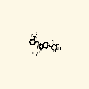 COc1nn(Cc2ccccc2C(F)(F)F)c2c1CN(c1cn[nH]c(=O)c1Cl)CC2